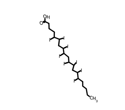 CCCCCC(I)C(I)CC(I)C(I)CC(I)C(I)CC(I)C(I)CCCC(=O)O